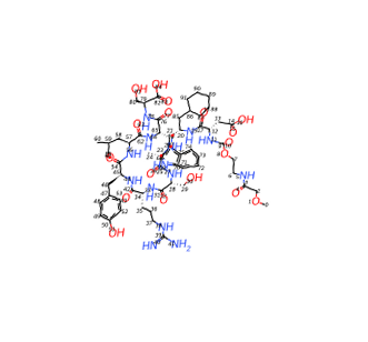 COCC(=O)NCCOC(=O)N[C@@H](CC(=O)O)C(=O)N[C@H](CN[C@@H](C)C(=O)N[C@H](CO)C(=O)N[C@H](CCCNC(=N)N)C(=O)N[C@@H](Cc1ccc(O)cc1)C(=O)N[C@@H](CC(C)C)C(=O)N[C@@H](Cc1c[nH]c2ccccc12)C(=O)N[C@@H](CO)C(=O)O)CC1CCCCC1